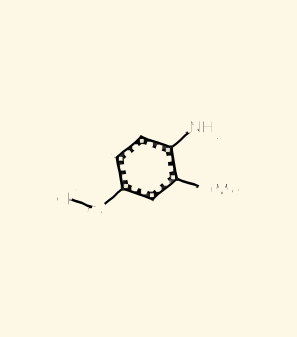 COc1cc(SCl)ccc1N